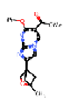 COC(=O)c1cn2cc(C34COC(C)(C3)C4)nc2nc1OC(C)C